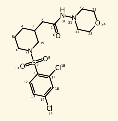 O=C(CC1CCCN(S(=O)(=O)c2ccc(Cl)cc2Cl)C1)NN1CCOCC1